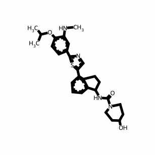 CNc1cc(-c2ncc(-c3cccc4c3CCC4NC(=O)N3CCC(O)CC3)s2)ccc1OC(C)C